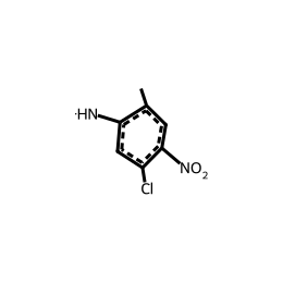 Cc1cc([N+](=O)[O-])c(Cl)cc1[NH]